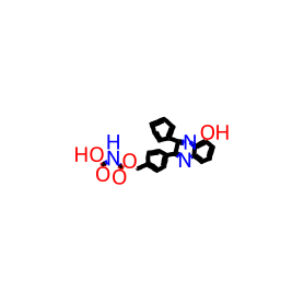 O=C(O)NC(=O)OCc1ccc(-c2nc3cccc(O)c3nc2-c2ccccc2)cc1